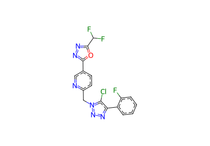 Fc1ccccc1-c1nnn(Cc2ccc(-c3nnc(C(F)F)o3)cn2)c1Cl